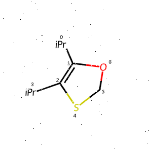 CC(C)C1=C(C(C)C)SCO1